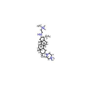 CCC[N+](C)(C)CCN[C@H]1C[C@H]2[C@@H]3CC[C@H]4C[C@H](OC(C)=O)[C@@H](N5CC[N+](C)(C)CC5)C[C@]4(C)[C@H]3CC[C@]2(C)[C@H]1OC(C)=O